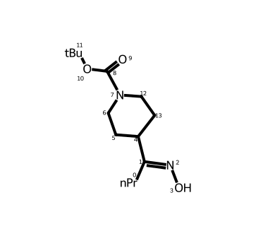 CCCC(=NO)C1CCN(C(=O)OC(C)(C)C)CC1